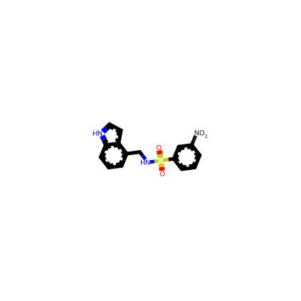 O=[N+]([O-])c1cccc(S(=O)(=O)NCc2cccc3[nH]ccc23)c1